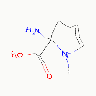 CN1C=CCC1(N)C(=O)O